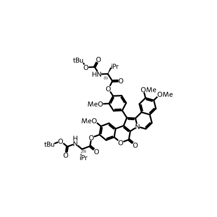 COc1cc2ccn3c(c(-c4ccc(OC(=O)[C@@H](NC(=O)OC(C)(C)C)C(C)C)c(OC)c4)c4c5cc(OC)c(OC(=O)[C@@H](NC(=O)OC(C)(C)C)C(C)C)cc5oc(=O)c43)c2cc1OC